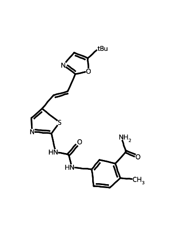 Cc1ccc(NC(=O)Nc2ncc(C=Cc3ncc(C(C)(C)C)o3)s2)cc1C(N)=O